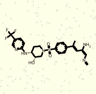 C=N/C=C(N)\C=C(/C)c1ccc(S(=O)(=O)N2CC[C@@H](Nc3ccc(C(F)(F)F)cn3)[C@@H](O)C2)cc1